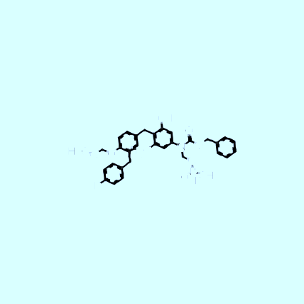 COCOc1ccc(Cc2c(C)cc(N(CO[PH](C)=O)C(=O)OCc3ccccc3)cc2C)cc1Cc1ccc(F)cc1